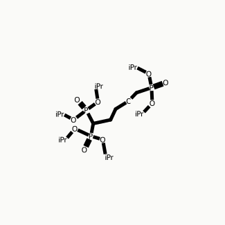 CC(C)OP(=O)(CCCCC(P(=O)(OC(C)C)OC(C)C)P(=O)(OC(C)C)OC(C)C)OC(C)C